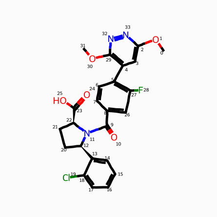 COc1cc(-c2ccc(C(=O)N3[C@@H](c4ccccc4Cl)CC[C@H]3C(=O)O)cc2F)c(OC)nn1